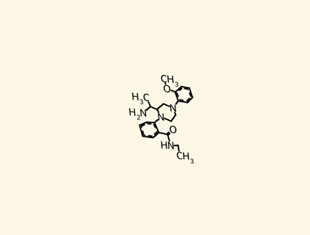 CCNC(=O)c1ccccc1N1CCN(c2ccccc2OC)CC1C(C)N